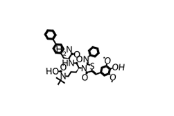 COc1cc(/C=C2\S/C(=N\c3ccccc3)N([C@@H](CCCN(C(=O)O)C(C)(C)C)C(=O)N[C@@H](Cc3ccc(-c4ccccc4)cc3)C(N)=O)C2=O)cc(OC)c1O